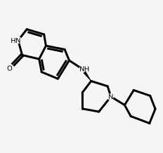 O=c1[nH]ccc2cc(N[C@@H]3CCCN(C4CCCCC4)C3)ccc12